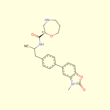 Cn1c(=O)oc2ccc(-c3ccc(CC(C#N)NC(=O)[C@H]4CNCCCO4)cc3)cc21